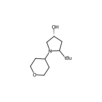 CC(C)(C)C1C[C@@H](O)CN1C1CCOCC1